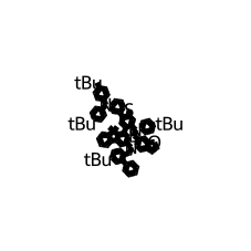 CC(C)(C)c1ccc(N2B3c4cc5occc5cc4N(Cc4ccc(C(C)(C)C)cc4-c4ccccc4)c4cc5c(c(c43)-c3cc4c(cc32)sc2ccc(N(c3ccc(C(C)(C)C)cc3)c3ccc(C(C)(C)C)cc3)cc24)C(C)(C)c2ccccc2-5)cc1